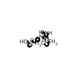 CC1CCCC(C)N1c1nc2c(c(Nc3ccc(CC(=O)N4CCCC4CO)cc3)n1)C(=O)NC2